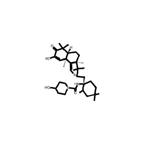 CC(=O)/C=C1/[C@@]2(C)C=C(C#N)C(=O)C(C)(C)[C@@H]2CC[C@@]1(C)C(C)(C)CC[C@@]1(NC(=O)N2CCC(O)CC2)CCC(C)(C)CC1C